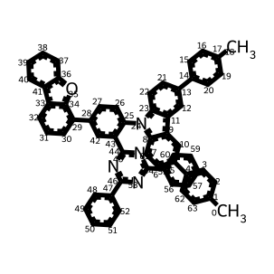 Cc1ccc(-c2ccc3c(c2)c2cc(-c4ccc(C)cc4)ccc2n3-c2ccc(-c3cccc4c3oc3ccccc34)cc2-c2nc(-c3ccccc3)nc(-c3ccccc3)n2)cc1